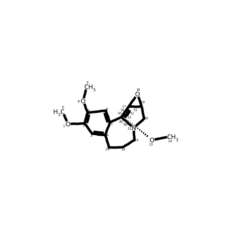 COc1cc2c(cc1OC)[C@]13C[C@@H](OC)C=CC14OC4CN3CCC2